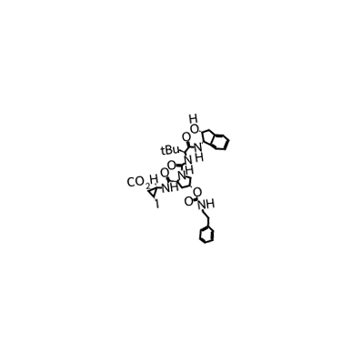 CC(C)(C)[C@H](NC(=O)N1C[C@H](OC(=O)NCCc2ccccc2)C[C@H]1C(=O)N[C@]1(C(=O)O)C[C@H]1I)C(=O)N[C@H]1c2ccccc2C[C@H]1O